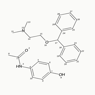 CC(=O)Nc1ccc(O)cc1.CN(C)CCOC(c1ccccc1)c1ccccc1